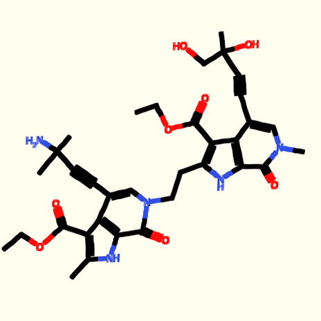 CCOC(=O)c1c(CCn2cc(C#CC(C)(C)N)c3c(C(=O)OCC)c(C)[nH]c3c2=O)[nH]c2c(=O)n(C)cc(C#CC(C)(O)CO)c12